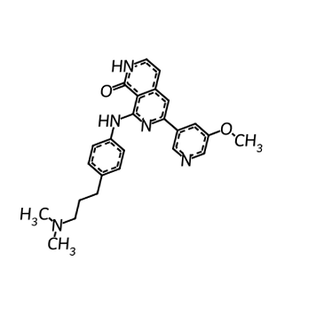 COc1cncc(-c2cc3cc[nH]c(=O)c3c(Nc3ccc(CCCN(C)C)cc3)n2)c1